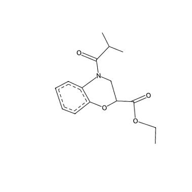 CCOC(=O)C1CN(C(=O)C(C)C)c2ccccc2O1